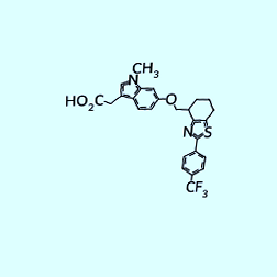 Cn1cc(CC(=O)O)c2ccc(OCC3CCCc4sc(-c5ccc(C(F)(F)F)cc5)nc43)cc21